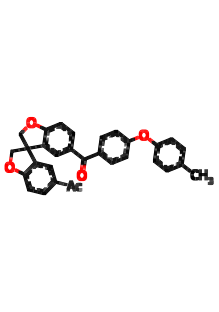 CC(=O)c1ccc2c(c1)C1(CO2)COc2ccc(C(=O)c3ccc(Oc4ccc(C)cc4)cc3)cc21